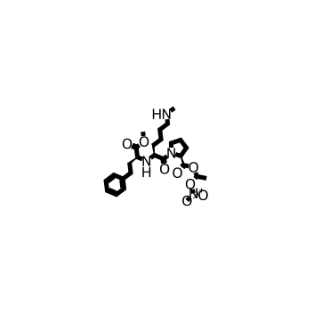 CNCCCC[C@H](N[C@@H](CCc1ccccc1)C(=O)OC)C(=O)N1CCC[C@H]1C(=O)OC(C)O[N+](=O)[O-]